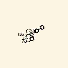 CC(C)(C)OC(=NN1[C@@H](Cc2ccccc2)COC1(C)C)[C@H](CC(=O)O)c1coc(-c2ccc(-c3ccccc3)cc2)c1